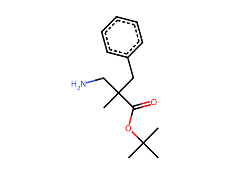 CC(C)(C)OC(=O)C(C)(CN)Cc1ccccc1